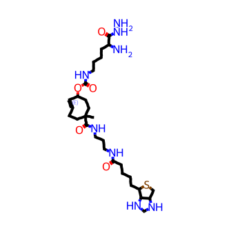 CC1(C(=O)NCCCNC(=O)CCCCC2SCC3NCNC32)CC/C=C/C(OC(=O)NCCCCC(N)C(=O)NN)CC1